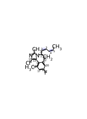 C=C(/C=C\C=C/C)n1c(C)nc(Cl)c1-c1c(C)cc(F)cc1F